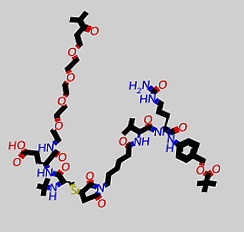 CC(C)C(=O)CCOCCOCCOCCOCCNC(=O)[C@H](CCC(=O)O)NC(=O)[C@H](CSC1CC(=O)N(CCCCCC(=O)N[C@H](C(=O)N[C@@H](CCCNC(N)=O)C(=O)Nc2ccc(COC(=O)C(C)(C)C)cc2)C(C)C)C1=O)NC(C)(C)C